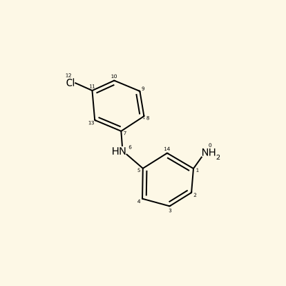 Nc1cccc(Nc2[c]ccc(Cl)c2)c1